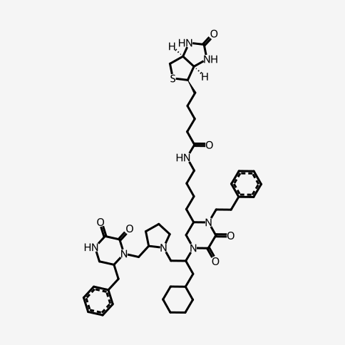 O=C(CCCC[C@H]1SC[C@H]2NC(=O)N[C@H]21)NCCCCC1CN(C(CC2CCCCC2)CN2CCCC2CN2C(=O)C(=O)NCC2Cc2ccccc2)C(=O)C(=O)N1CCc1ccccc1